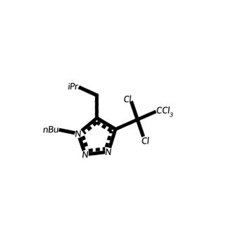 CCCCn1nnc(C(Cl)(Cl)C(Cl)(Cl)Cl)c1CC(C)C